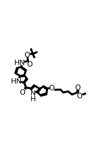 COC(=O)CCCCCOc1ccc2[nH]c(C(=O)c3cc4cc(NC(=O)OC(C)(C)C)ccc4[nH]3)cc2c1